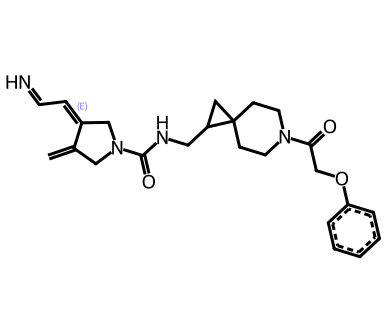 C=C1CN(C(=O)NCC2CC23CCN(C(=O)COc2ccccc2)CC3)C/C1=C/C=N